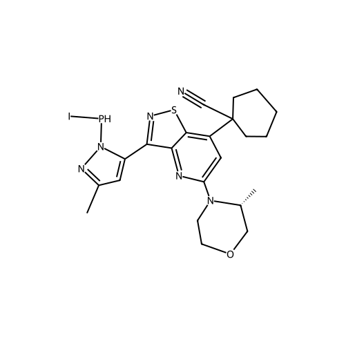 Cc1cc(-c2nsc3c(C4(C#N)CCCCC4)cc(N4CCOC[C@H]4C)nc23)n(PI)n1